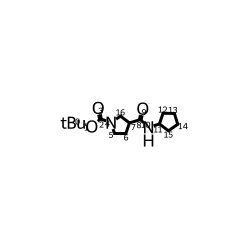 CC(C)(C)OC(=O)N1CCC(C(=O)NC2CCCC2)C1